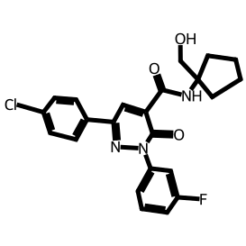 O=C(NC1(CO)CCCC1)c1cc(-c2ccc(Cl)cc2)nn(-c2cccc(F)c2)c1=O